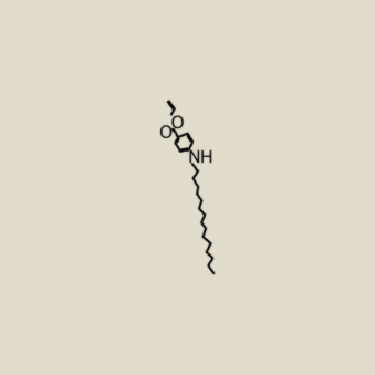 C=CCOC(=O)c1ccc(NCCCCCCCCCCCCCCCC)cc1